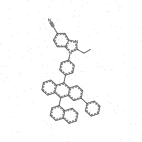 CCc1nc2cc(C#N)ccc2n1-c1ccc(-c2c3ccccc3c(-c3cccc4ccccc34)c3cc(-c4ccccc4)ccc23)cc1